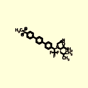 CC(C)C[C@@H](C(N)=O)N(CC#N)[C@@H](c1ccc(-c2ccc(-c3ccc(S(C)(=O)=O)cc3)cc2)cc1)C(F)(F)F